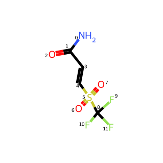 NC(=O)C=CS(=O)(=O)C(F)(F)F